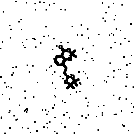 CC1(C)OC(=O)c2cccc(CCB3OC(C)(C)C(C)(C)O3)c2O1